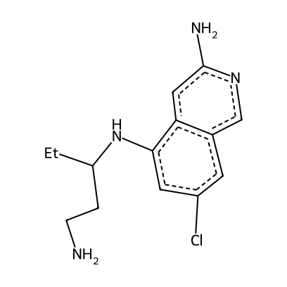 CCC(CCN)Nc1cc(Cl)cc2cnc(N)cc12